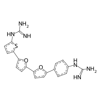 N=C(N)Nc1ccc(-c2ccc(-c3ccc(-c4ccc(NC(=N)N)s4)o3)o2)cc1